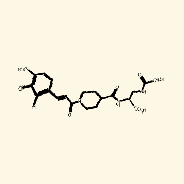 COC(=O)NC[C@H](NC(=O)C1CCN(C(=O)C=Cc2ccc(SC)c(Cl)c2Cl)CC1)C(=O)O